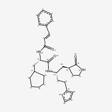 O=C(C=Cc1ccccc1)N[C@@H](CC1CCCCC1)C(=O)N[C@@H](CCc1cccs1)C[C@@H]1CCNC1=O